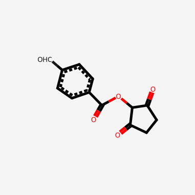 O=Cc1ccc(C(=O)OC2C(=O)CCC2=O)cc1